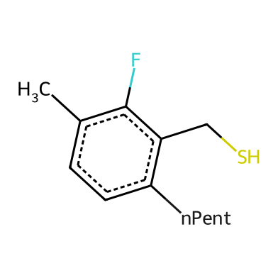 CCCCCc1ccc(C)c(F)c1CS